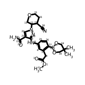 COC(=O)Cc1cc(Nc2nn(C3COCCC3C#N)cc2C(N)=O)ccc1B1OCC(C)(C)CO1